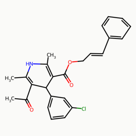 CC(=O)C1=C(C)NC(C)=C(C(=O)OCC=Cc2ccccc2)C1c1cccc(Cl)c1